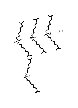 CC(C)CCCCCOP(=S)([S-])OCCCCCC(C)C.CC(C)CCCCCOP(=S)([S-])OCCCCCC(C)C.CC(C)CCCCCOP(=S)([S-])OCCCCCC(C)C.CC(C)CCCCCOP(=S)([S-])OCCCCCC(C)C.[Sn+4]